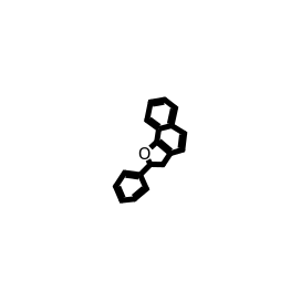 c1ccc(C2Cc3ccc4ccccc4c3O2)cc1